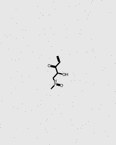 C=CC(=O)C(O)C[PH](C)=O